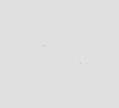 COc1cccc(N(F)F)c1F